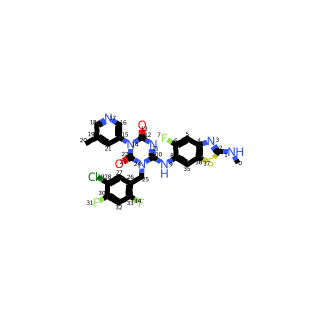 CNc1nc2cc(F)c(Nc3nc(=O)n(-c4cncc(C)c4)c(=O)n3Cc3cc(Cl)c(F)cc3F)cc2s1